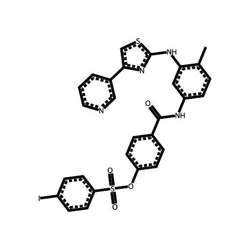 Cc1ccc(NC(=O)c2ccc(OS(=O)(=O)c3ccc(I)cc3)cc2)cc1Nc1nc(-c2cccnc2)cs1